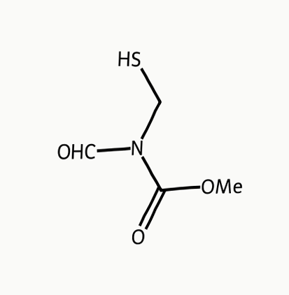 COC(=O)N(C=O)CS